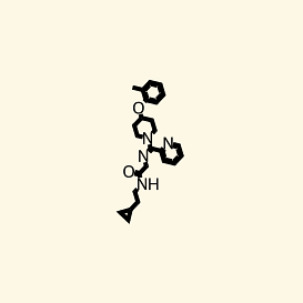 Cc1ccccc1OC1CCN(/C(=N/CC(=O)NCCC2CC2)c2ccccn2)CC1